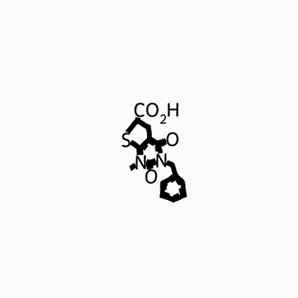 Cn1c2c(c(=O)n(Cc3ccccc3)c1=O)CC(C(=O)O)CS2